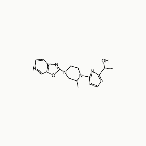 CC(O)c1nccc(N2CCN(c3nc4ccncc4o3)CC2C)n1